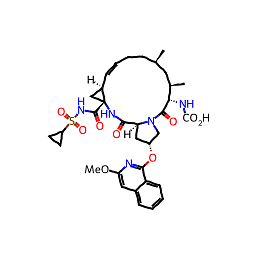 COc1cc2ccccc2c(O[C@@H]2C[C@H]3C(=O)N[C@]4(C(=O)NS(=O)(=O)C5CC5)C[C@H]4C=CCC[C@@H](C)C[C@@H](C)[C@H](NC(=O)O)C(=O)N3C2)n1